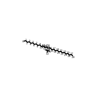 CCCCCCCCCCCCCCN(CCCCCCCCCCCCCC)C(C)(C)C.Cl